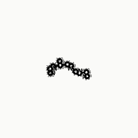 c1cnc2c(-c3ccc4ccc(-c5ccc6ccc(-c7ccc(-c8ccc9ccc%10cccnc%10c9n8)c8ccccc78)cc6n5)cc4n3)cccc2c1